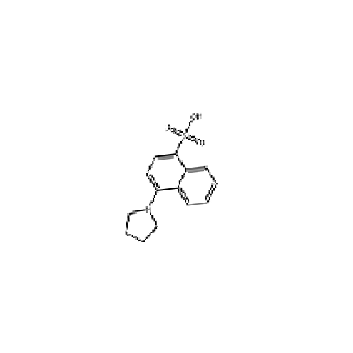 O=S(=O)(O)c1ccc(N2CCCC2)c2ccccc12